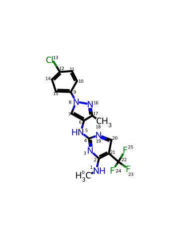 CNc1nc(Nc2cn(-c3ccc(Cl)cc3)nc2C)ncc1C(F)(F)F